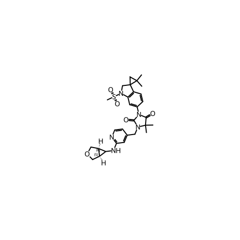 CC1(C)C(=O)N(c2ccc3c(c2)N(S(C)(=O)=O)CC32CC2(C)C)C(=O)N1Cc1ccnc(NC2[C@H]3COC[C@@H]23)c1